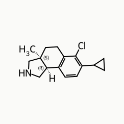 C[C@]12CCc3c(ccc(C4CC4)c3Cl)[C@H]1CNC2